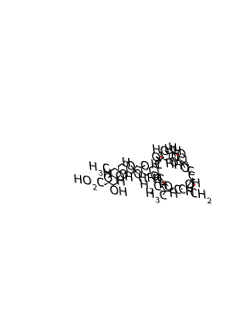 C=C1C[C@@H]2CC[C@@]34OC5C3CO[C@H]3[C@@H](O4)[C@H]4O[C@H](CC[C@@H]4O[C@@H]53)CC(=O)C[C@@H]3CC4OC5C[C@]6(C[C@@H]7O[C@@]8(CC[C@@H]7O6)C[C@H](C)[C@@H]6O[C@H](CC(=O)O)[C@H](O)C[C@@H]6O8)O[C@@H]5C[C@@H]4O[C@H]3C[C@H]3O[C@@H](CC[C@@H]1O2)C[C@@H](C)C3=C